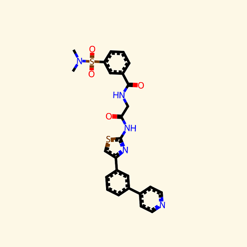 CN(C)S(=O)(=O)c1cccc(C(=O)NCC(=O)Nc2nc(-c3cccc(-c4ccncc4)c3)cs2)c1